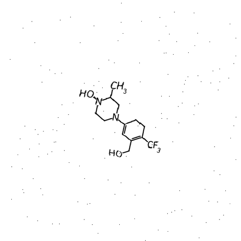 CC1CN(C2=CC(CO)=C(C(F)(F)F)CC2)CCN1O